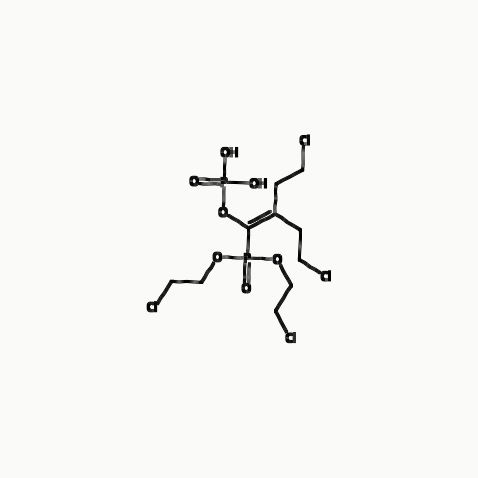 O=P(O)(O)OC(=C(CCCl)CCCl)P(=O)(OCCCl)OCCCl